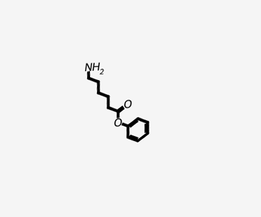 NCCCCCC(=O)Oc1ccccc1